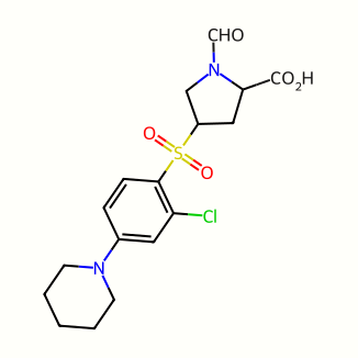 O=CN1CC(S(=O)(=O)c2ccc(N3CCCCC3)cc2Cl)CC1C(=O)O